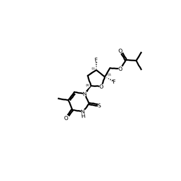 Cc1cn([C@H]2C[C@H](F)[C@@](F)(COC(=O)C(C)C)O2)c(=S)[nH]c1=O